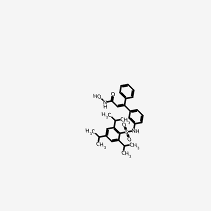 CC(C)c1cc(C(C)C)c(S(=O)(=O)Nc2cccc(C(=CC(=O)NO)c3ccccc3)c2)c(C(C)C)c1